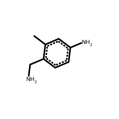 Cc1cc(N)ccc1CN